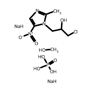 CO.Cc1ncc([N+](=O)[O-])n1CC(O)CCl.O=P(O)(O)O.[NaH].[NaH]